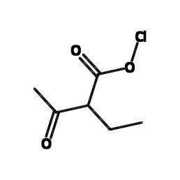 CCC(C(C)=O)C(=O)OCl